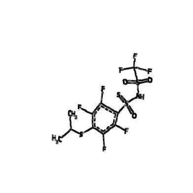 CC(C)Sc1c(F)c(F)c(S(=O)(=S)NS(=O)(=O)C(F)(F)F)c(F)c1F